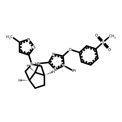 Cc1cc(N2C[C@H]3CC[C@@H](C2)[C@H]3Nc2nc(Oc3cccc(S(C)(=O)=O)c3)n(C(C)C)n2)sn1